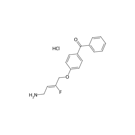 Cl.NCC=C(F)COc1ccc(C(=O)c2ccccc2)cc1